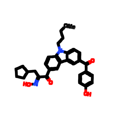 COCCCn1c2ccc(C(=O)/C(CC3CCCC3)=N/O)cc2c2cc(C(=O)c3ccc(O)cc3)ccc21